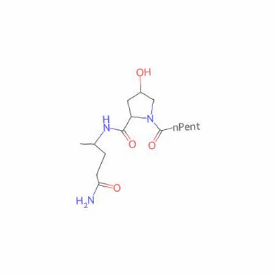 CCCCCC(=O)N1CC(O)CC1C(=O)NC(C)CCC(N)=O